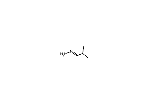 CC(C)/C=N/P